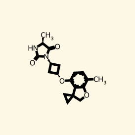 Cc1ccc(O[C@H]2C[C@H](N3C(=O)N[C@@H](C)C3=O)C2)c2c1OCC21CC1